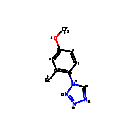 CCc1cc(OC(F)(F)F)ccc1-n1cnnn1